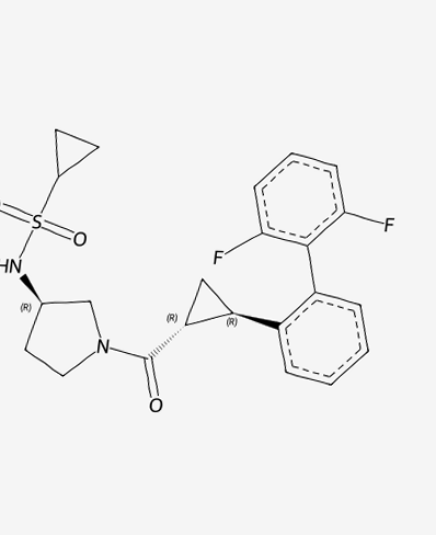 O=C([C@@H]1C[C@H]1c1ccccc1-c1c(F)cccc1F)N1CC[C@@H](NS(=O)(=O)C2CC2)C1